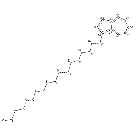 CCCCCCCCCCCCCCCCCCc1ccc2cccccc1-2